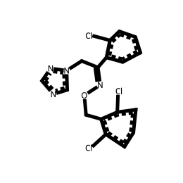 Clc1ccccc1C(Cn1cncn1)=NOCc1c(Cl)cccc1Cl